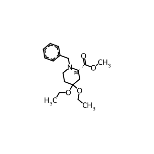 CCOC1(OCC)CCN(Cc2ccccc2)[C@H](C(=O)OC)C1